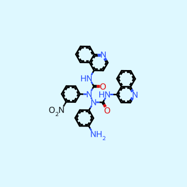 Nc1cccc(N(C(=O)Nc2ccnc3ccccc23)N(C(=O)Nc2ccnc3ccccc23)c2cccc([N+](=O)[O-])c2)c1